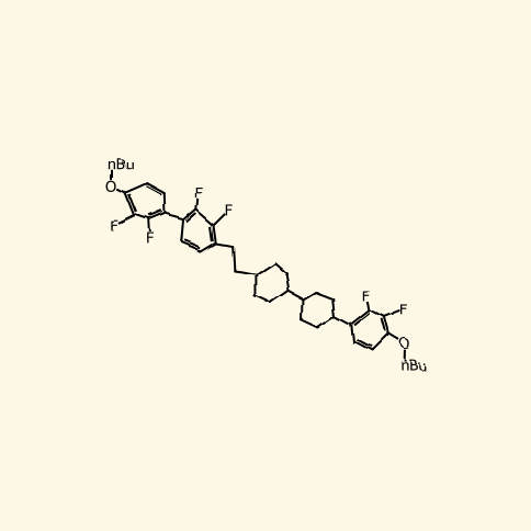 CCCCOc1ccc(-c2ccc(CCC3CCC(C4CCC(c5ccc(OCCCC)c(F)c5F)CC4)CC3)c(F)c2F)c(F)c1F